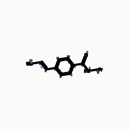 CCCNC(=O)c1ccc(/C=C/C(C)(C)C)cc1